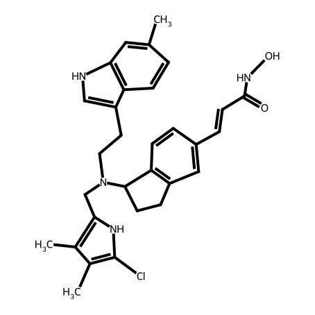 Cc1ccc2c(CCN(Cc3[nH]c(Cl)c(C)c3C)C3CCc4cc(C=CC(=O)NO)ccc43)c[nH]c2c1